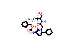 CCOC(=O)C(F)(F)C(CO)NC(=O)Cn1c(-c2ccccc2)ccc(NC(=O)OCc2ccccc2)c1=O